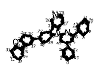 c1ccc(-c2cc(-c3ccccc3)nc(-n3c4ccncc4c4cc(-c5ccc6oc7ccccc7c6c5)ccc43)c2)cc1